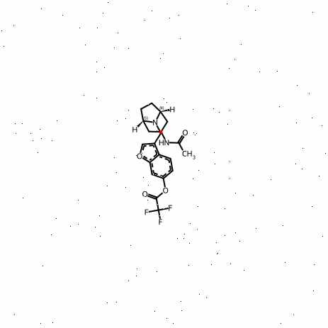 CC(=O)NC1C[C@H]2CC[C@@H](C1)N2Cc1coc2cc(OC(=O)C(F)(F)F)ccc12